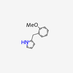 COc1ccccc1Cc1ccc[nH]1